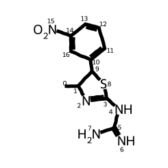 CC1N=C(NC(=N)N)SC1c1cccc([N+](=O)[O-])c1